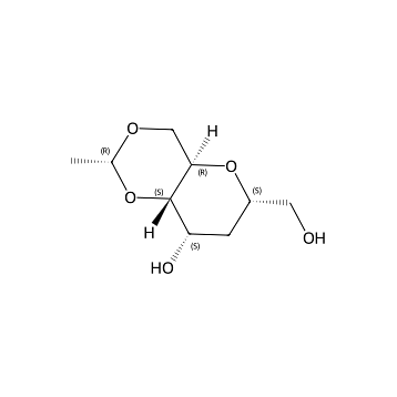 C[C@@H]1OC[C@H]2O[C@H](CO)C[C@H](O)[C@@H]2O1